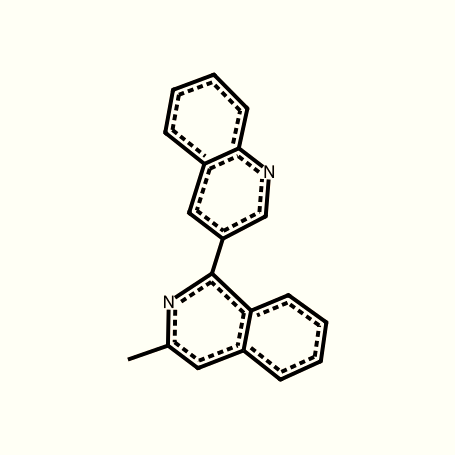 Cc1cc2ccccc2c(-c2cnc3ccccc3c2)n1